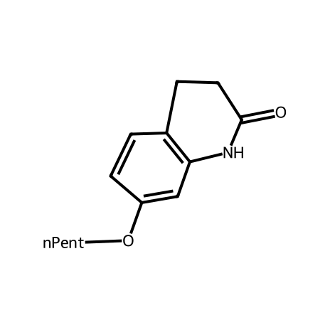 CCCCCOc1ccc2c(c1)NC(=O)CC2